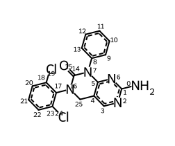 Nc1ncc2c(n1)N(c1ccccc1)C(=O)N(c1c(Cl)cccc1Cl)C2